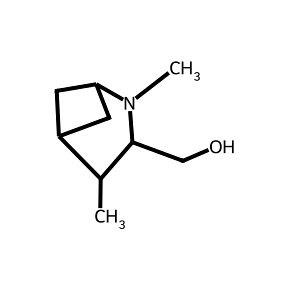 CC1C2CC(C2)N(C)C1CO